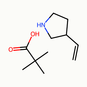 C=CC1CCNC1.CC(C)(C)C(=O)O